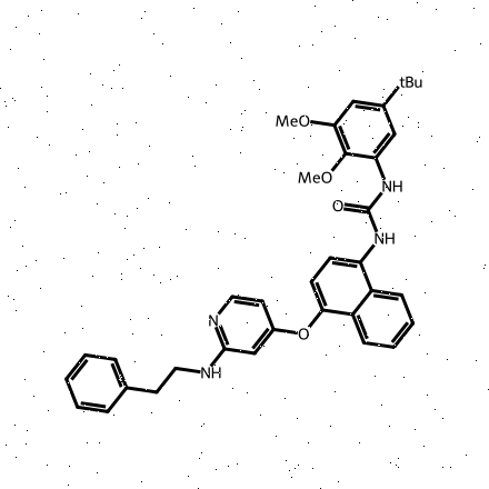 COc1cc(C(C)(C)C)cc(NC(=O)Nc2ccc(Oc3ccnc(NCCc4ccccc4)c3)c3ccccc23)c1OC